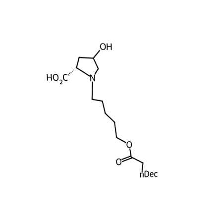 CCCCCCCCCCCC(=O)OCCCCCN1CC(O)C[C@H]1C(=O)O